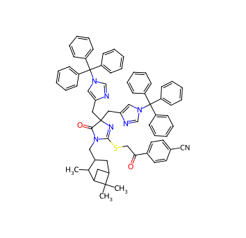 CC1C(CN2C(=O)C(Cc3cn(C(c4ccccc4)(c4ccccc4)c4ccccc4)cn3)(Cc3cn(C(c4ccccc4)(c4ccccc4)c4ccccc4)cn3)N=C2SCC(=O)c2ccc(C#N)cc2)CC2CC1C2(C)C